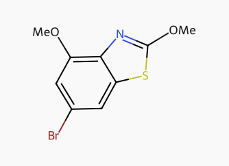 COc1nc2c(OC)cc(Br)cc2s1